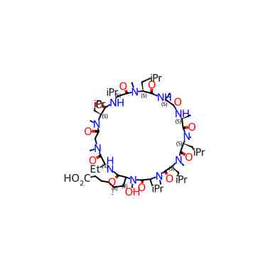 CC[C@@H]1NC(=O)C([C@H](O)[C@H](C)CCCC(=O)O)N(C)C(=O)C(C(C)C)N(C)C(=O)[C@H](CC(C)C)N(C)C(=O)[C@H](CC(C)C)N(C)C(=O)[C@H](C)NC(=O)[C@H](C)NC(=O)[C@H](CC(C)C)N(C)C(=O)[C@H](C(C)C)NC(=O)[C@H](CC(C)C)N(C)C(=O)CN(C)C1=O